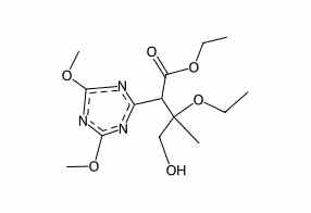 CCOC(=O)C(c1nc(OC)nc(OC)n1)C(C)(CO)OCC